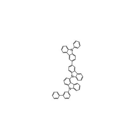 c1ccc(-c2cccc(-n3c4ccccc4c4c(-n5c6ccccc6c6cc(-c7ccc8c(c7)c7ccccc7n8-c7ccccc7)ccc65)cccc43)c2)cc1